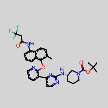 Cc1ccc2c(NC(=O)CC(F)(F)F)cccc2c1Oc1ncccc1-c1ccnc(N[C@H]2CCCN(C(=O)OC(C)(C)C)C2)n1